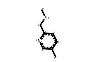 CSCc1ccc(C)cn1